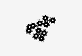 c1ccc(-n2c3ccccc3c3c(-c4cccc(N(c5ccc([Si](c6ccccc6)(c6ccccc6)c6ccccc6)cc5)c5ccc6ccc7ccccc7c6c5)c4)cccc32)cc1